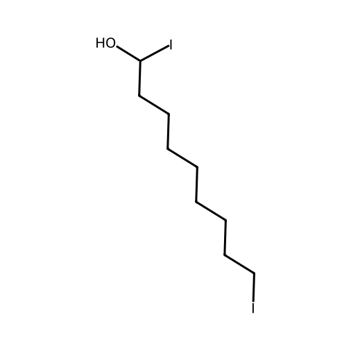 OC(I)CCCCCCCCI